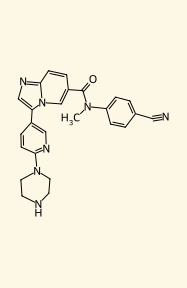 CN(C(=O)c1ccc2ncc(-c3ccc(N4CCNCC4)nc3)n2c1)c1ccc(C#N)cc1